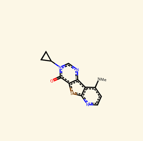 CNc1ccnc2sc3c(=O)n(C4CC4)cnc3c12